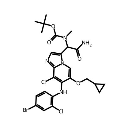 CN(C(=O)OC(C)(C)C)C(C(N)=O)c1cnc2c(Cl)c(Nc3ccc(Br)cc3Cl)c(OCC3CC3)cn12